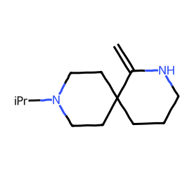 C=C1NCCCC12CCN(C(C)C)CC2